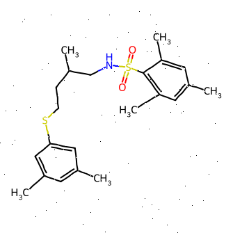 Cc1cc(C)cc(SCCC(C)CNS(=O)(=O)c2c(C)cc(C)cc2C)c1